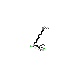 CCCCCCCCCCCCCCCCCC[Si](C)(Cl)CC[Si](C)(Cl)CCCCCCCC